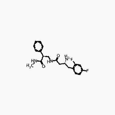 CNC(=O)[C@H](CNC(=O)C[C@H](N)Cc1ccc(F)cc1F)c1ccccc1